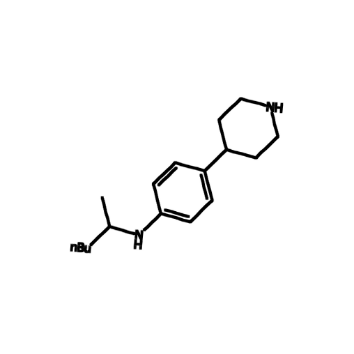 CCCCC(C)Nc1ccc(C2CCNCC2)cc1